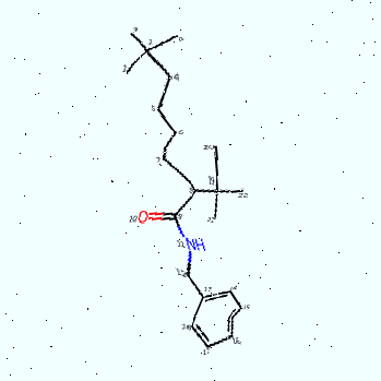 CC(C)(C)CCCCC(C(=O)NCc1ccccc1)C(C)(C)C